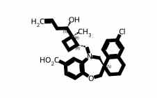 C=CC[C@H](O)[C@]1(C)CC[C@H]1CN1C[C@@]2(CCCc3cc(Cl)ccc32)COc2ccc(C(=O)O)cc21